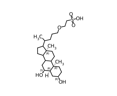 CC(CCCOCCS(=O)(=O)O)C1CCC2C3C[C@H](O)[C@@H]4C[C@H](O)CC[C@]4(C)C3CC[C@]12C